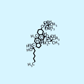 CCCCCCC(C)(O)[C@H]1CC[C@H]2[C@]3(C)CC(O[Si](C)(C)C(C)(C)C)[C@H]4CC(O[Si](C)(C)C(C)(C)C)CC[C@]4(C)[C@H]3CC[C@@]21C